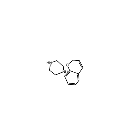 C1=Cc2ccccc2OC1.C1CNCCN1